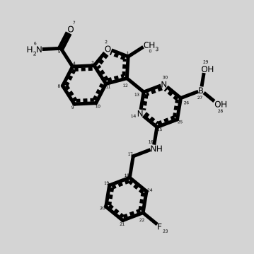 Cc1oc2c(C(N)=O)cccc2c1-c1nc(NCc2cccc(F)c2)cc(B(O)O)n1